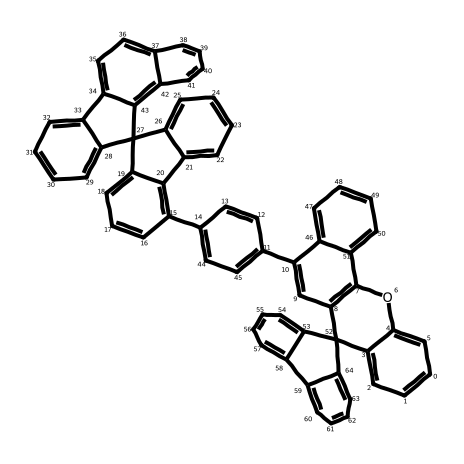 c1ccc2c(c1)Oc1c(cc(-c3ccc(-c4cccc5c4-c4ccccc4C54c5ccccc5-c5ccc6ccccc6c54)cc3)c3ccccc13)C21c2ccccc2-c2ccccc21